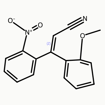 COc1ccccc1/C(=C\C#N)c1ccccc1[N+](=O)[O-]